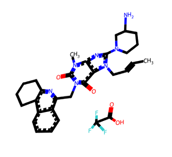 CC#CCn1c(N2CCCC(N)C2)nc2c1c(=O)n(Cc1nc3c(c4ccccc14)CCCC3)c(=O)n2C.O=C(O)C(F)(F)F